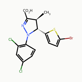 C[C@@H]1C(C(=O)O)=NN(c2ccc(Cl)cc2Cl)[C@H]1c1ccc(Br)s1